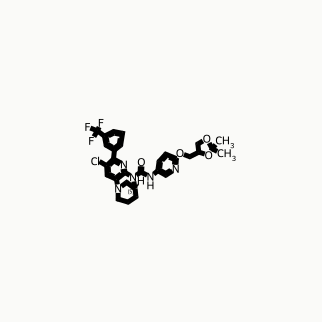 CC1(C)OCC(COc2ccc(NC(=O)N3c4nc(-c5cccc(C(F)(F)F)c5)c(Cl)cc4N4CCC[C@H]3C4)cn2)O1